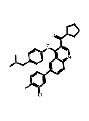 Cc1ccc(-c2ccc3ncc(C(=O)C4CCCC4)c(Nc4ccc(CN(C)C)cc4)c3c2)cc1Cl